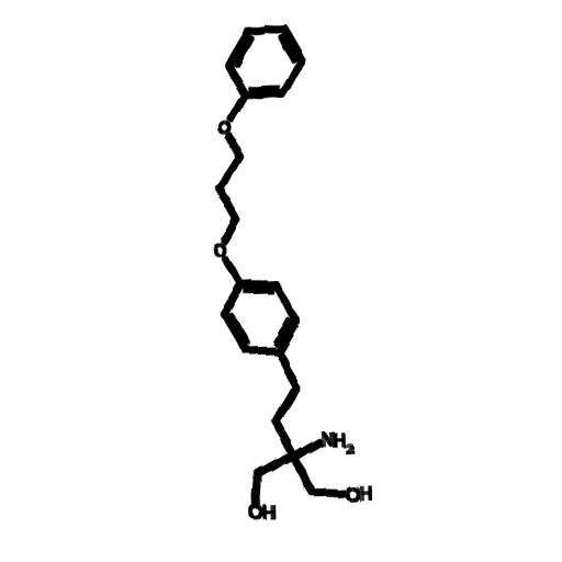 NC(CO)(CO)CCc1ccc(OCCCOc2ccccc2)cc1